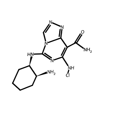 NC(=O)c1c(NCl)nc(N[C@@H]2CCCC[C@@H]2N)n2cnnc12